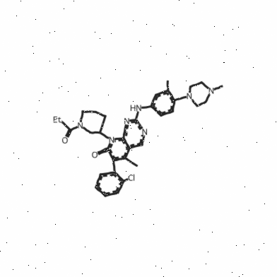 CCC(=O)N1CCCC(n2c(=O)c(-c3ccccc3Cl)c(C)c3cnc(Nc4ccc(N5CCN(C)CC5)c(C)c4)nc32)C1